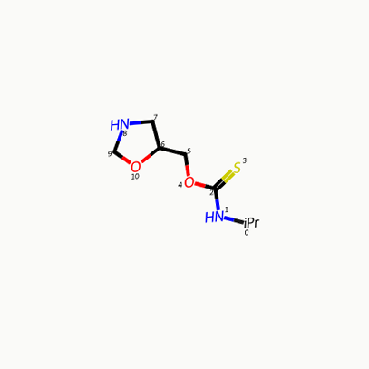 CC(C)NC(=S)OCC1CNCO1